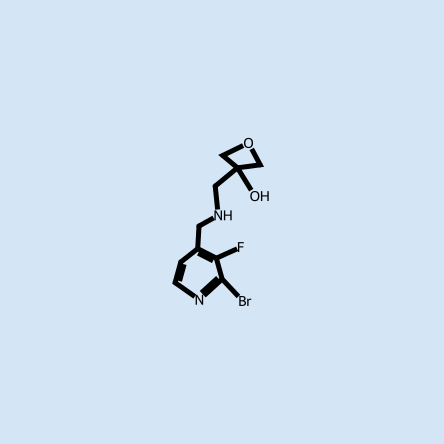 OC1(CNCc2ccnc(Br)c2F)COC1